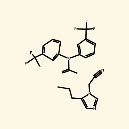 C=C(C)B(c1cccc(C(F)(F)F)c1)c1cccc(C(F)(F)F)c1.CCCc1cncn1CC#N